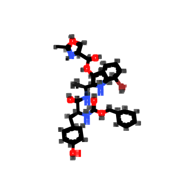 Cc1nc(C(=O)Oc2c([C@@H](NC(=O)[C@H](Cc3ccc(O)cc3)NC(=O)OCc3ccccc3)C(C)C)[nH]c3c(Br)cccc23)co1